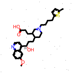 COc1ccc2nccc([C@@H](O)CCC3CCN(CCCCc4ccc(C)s4)CC3CCC(=O)O)c2c1